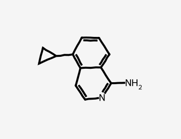 Nc1nccc2c(C3CC3)cccc12